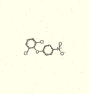 O=[N+]([O-])c1ccc(Oc2c(Cl)c[c]cc2Cl)cc1